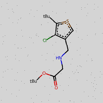 CC(C)(C)OC(=O)CNCc1csc(C(C)(C)C)c1Cl